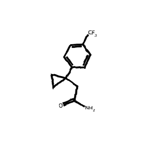 NC(=O)CC1(c2ccc(C(F)(F)F)cc2)CC1